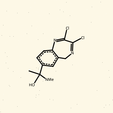 CNC(C)(O)c1ccc2c(c1)CN=C(Cl)C(Cl)=N2